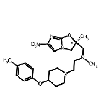 CN(CCN1CCC(Oc2ccc(C(F)(F)F)cc2)CC1)C[C@@]1(C)Cn2cc([N+](=O)[O-])nc2O1